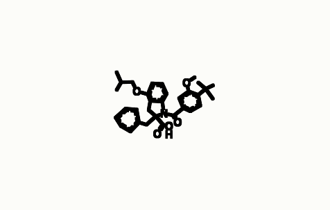 COc1cc(C(=O)N2c3cccc(OCC(C)C)c3CC2(Cc2ccccc2)C(=O)O)ccc1C(C)(C)C